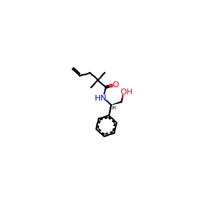 C=CCC(C)(C)C(=O)N[C@@H](CO)c1ccccc1